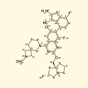 N#Cc1c(N)sc2c(F)ccc(-c3c(Cl)cc4c(N5CCCC6(CN(C=O)C6)C5)nc(OC[C@@]56CCCN5C[C@H](F)C6)nc4c3F)c12